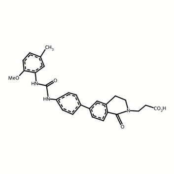 COc1ccc(C)cc1NC(=O)Nc1ccc(-c2ccc3c(c2)CCN(CCC(=O)O)C3=O)cc1